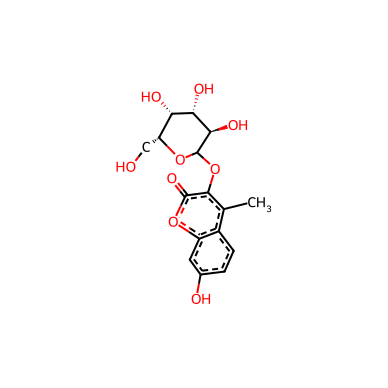 Cc1c(OC2O[C@H](CO)[C@H](O)[C@H](O)[C@H]2O)c(=O)oc2cc(O)ccc12